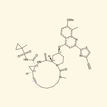 C#Cc1csc(-c2cc(O[C@H]3CCN4C(=O)N(C)CCCC/C=C\[C@H]5C[C@@]5(C(=O)NS(=O)(=O)C5(C)CC5)NC(=O)[C@@H]4C3)c3ccc(OC)c(C)c3n2)n1